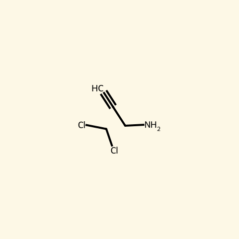 C#CCN.ClCCl